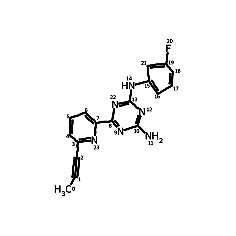 CC#Cc1cccc(-c2nc(N)nc(Nc3cccc(F)c3)n2)n1